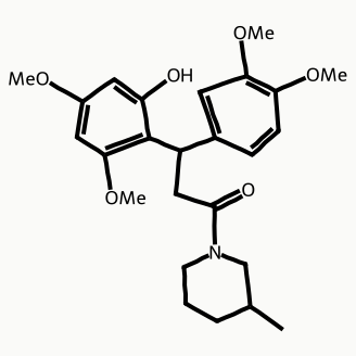 COc1cc(O)c(C(CC(=O)N2CCCC(C)C2)c2ccc(OC)c(OC)c2)c(OC)c1